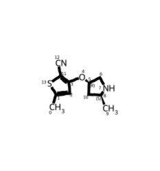 Cc1cc(O[C@H]2CN[C@@H](C)C2)c(C#N)s1